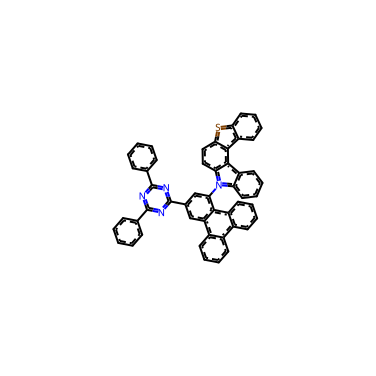 c1ccc(-c2nc(-c3ccccc3)nc(-c3cc(-n4c5ccccc5c5c6c(ccc54)sc4ccccc46)c4c5ccccc5c5ccccc5c4c3)n2)cc1